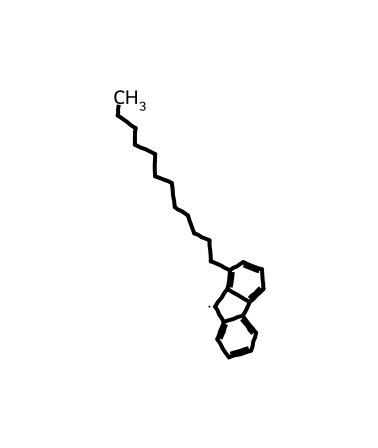 CCCCCCCCCCCCc1cccc2c1[CH]c1ccccc1-2